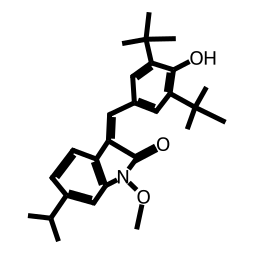 CON1C(=O)C(=Cc2cc(C(C)(C)C)c(O)c(C(C)(C)C)c2)c2ccc(C(C)C)cc21